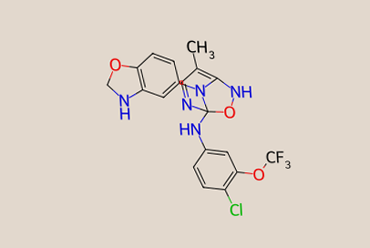 CC1=C2NOC(Nc3ccc(Cl)c(OC(F)(F)F)c3)(N=C1)N2c1ccc2c(c1)NCO2